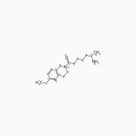 CCc1ccc2c(n1)CCN(C(=O)CCCCC(C)N)C2